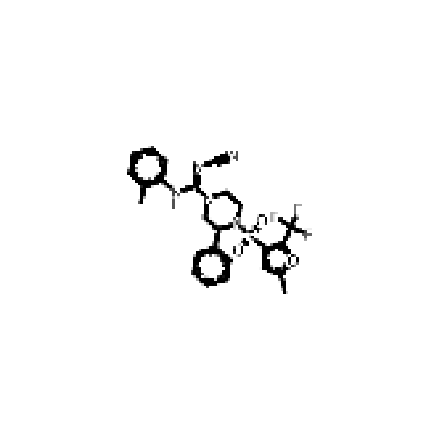 Cc1cc(S(=O)(=O)N2CCN(/C(=N\C#N)Nc3ccccc3C)CC2c2ccccc2)c(C(F)(F)F)o1